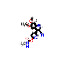 CNC(=O)Oc1ccc(-c2c(C#N)cnc3cc(OC)c(OC)cc23)cn1